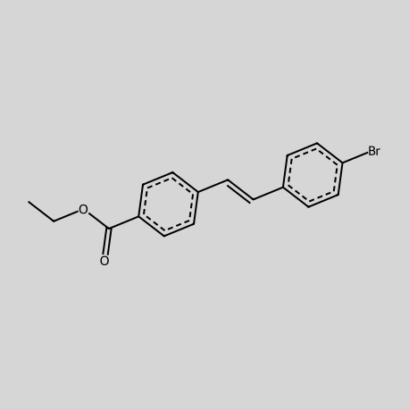 CCOC(=O)c1ccc(C=Cc2ccc(Br)cc2)cc1